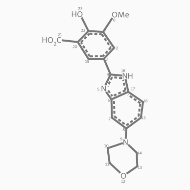 COc1cc(-c2nc3cc(N4CCOCC4)ccc3[nH]2)cc(C(=O)O)c1O